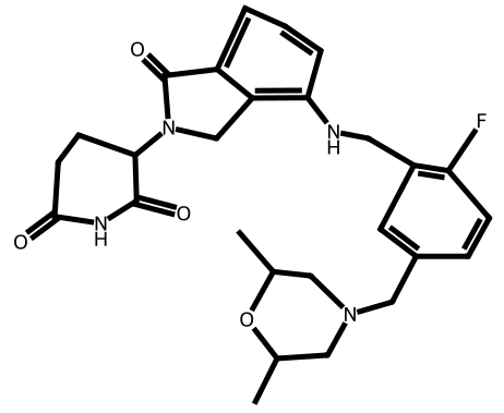 CC1CN(Cc2ccc(F)c(CNc3cccc4c3CN(C3CCC(=O)NC3=O)C4=O)c2)CC(C)O1